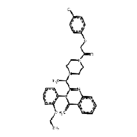 C=C1c2ccccc2N=C(C(C)N2CCN(C(=O)COc3ccc(Cl)cc3)CC2)N1c1ccccc1OCC